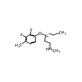 CCC[C@H](CCNC)Oc1ccc(C)c(F)c1F